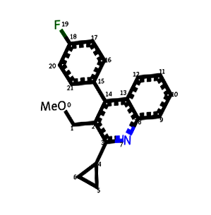 COCc1c(C2CC2)nc2ccccc2c1-c1ccc(F)cc1